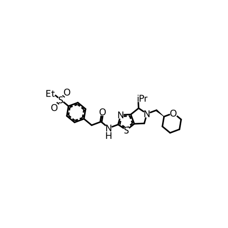 CCS(=O)(=O)c1ccc(CC(=O)Nc2nc3c(s2)CN(C[C@@H]2CCCCO2)C3C(C)C)cc1